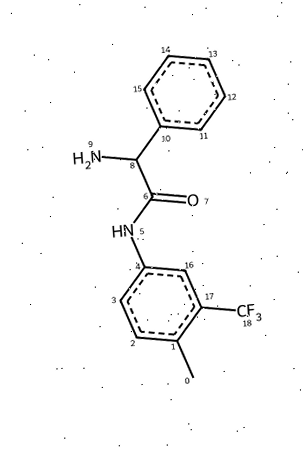 Cc1ccc(NC(=O)C(N)c2ccccc2)cc1C(F)(F)F